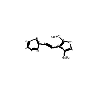 CNc1csc(C=O)c1C=Cc1ccccc1